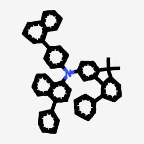 CC1(C)c2ccc(N(c3ccc(-c4cccc5ccccc45)cc3)c3ccc(-c4ccccc4)c4ccccc34)cc2-c2c(-c3ccccc3)cccc21